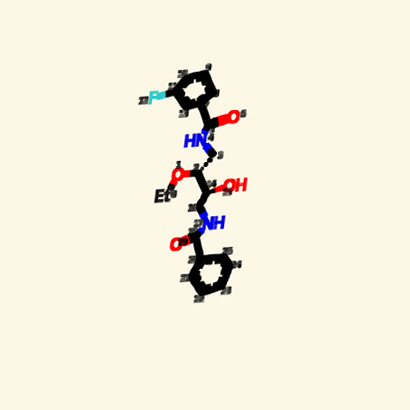 CCO[C@H](CNC(=O)c1cccc(F)c1)[C@@H](O)CNC(=O)c1ccccc1